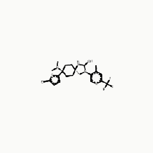 Cc1cc(C(F)(F)F)ncc1N1C[C@]2(CC[C@](c3ccc(Cl)s3)(N(C)C)CC2)NC1O